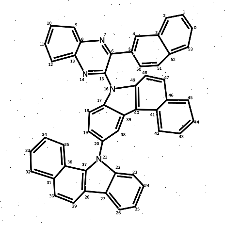 c1ccc2cc(-c3nc4ccccc4nc3-n3c4ccc(-n5c6ccccc6c6ccc7ccccc7c65)cc4c4c5ccccc5ccc43)ccc2c1